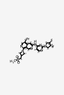 CC(C)c1cnc(N2CC(CS(C)(=O)=O)C2)c2cnc(Nc3ccnc(N4C[C@@H](F)[C@H](F)C4)n3)cc12